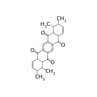 CC1C=CC2C(=O)c3cc4c(cc3C(=O)C2C1C)C(=O)C1C=CC(C)C(C)C1C4=O